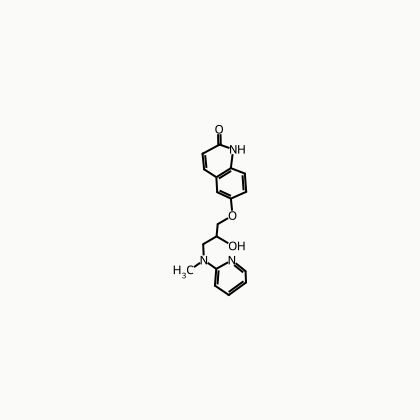 CN(CC(O)COc1ccc2[nH]c(=O)ccc2c1)c1ccccn1